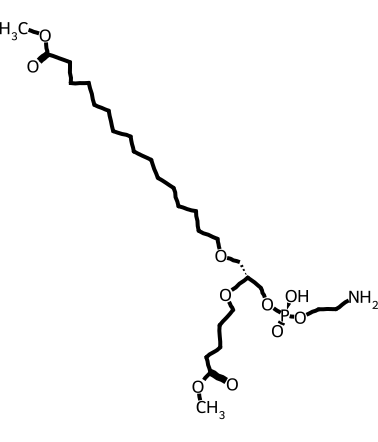 COC(=O)CCCCCCCCCCCCCCCOC[C@H](CO[P@](=O)(O)OCCN)OCCCCC(=O)OC